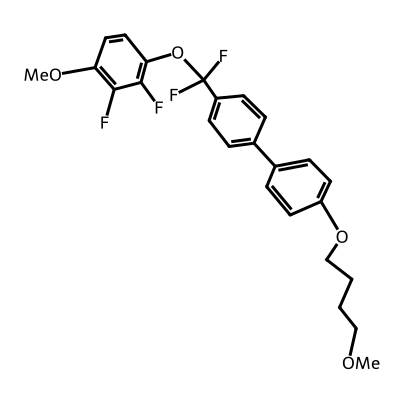 COCCCCOc1ccc(-c2ccc(C(F)(F)Oc3ccc(OC)c(F)c3F)cc2)cc1